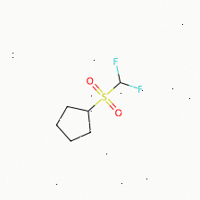 O=S(=O)([C]1CCCC1)C(F)F